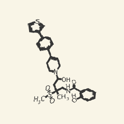 CC(CNC(=O)c1ccccc1O)(CC(O)N1CC=C(c2ccc(-c3ccsc3)cc2)CC1)S(C)(=O)=O